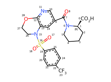 O=C(O)[C@H]1CCCCN1C(=O)c1cnc2c(c1)N(S(=O)(=O)c1ccc(C(F)(F)F)cc1)CCO2